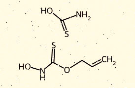 C=CCOC(=S)NO.NC(O)=S